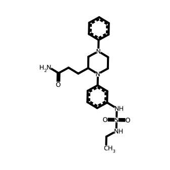 CCNS(=O)(=O)Nc1cccc(N2CCN(c3ccccc3)CC2CCC(N)=O)c1